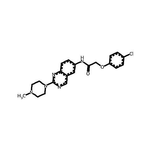 CN1CCN(c2ncc3cc(NC(=O)COc4ccc(Cl)cc4)ccc3n2)CC1